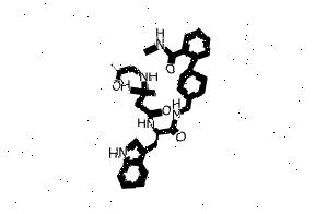 CNC(=O)c1ccccc1-c1ccc(CNC(=O)[C@@H](Cc2c[nH]c3ccccc23)NC(=O)CC(C)(C)NC[C@@H](C)O)cc1